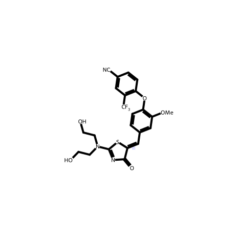 COc1cc(/C=C2\SC(N(CCO)CCO)=NC2=O)ccc1Oc1ccc(C#N)cc1C(F)(F)F